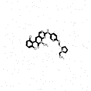 CCN1CCC[C@H]1COc1ccc(Nc2ncc3cc(-c4c(Cl)cccc4Cl)c(=O)n(C)c3n2)cn1